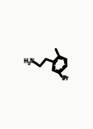 Cc1ccc(C(C)C)cc1CCN